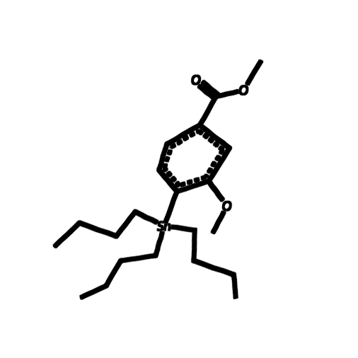 CCC[CH2][Sn]([CH2]CCC)([CH2]CCC)[c]1ccc(C(=O)OC)cc1OC